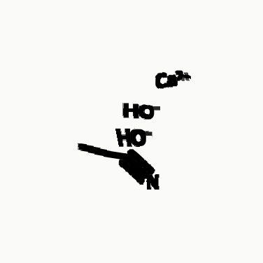 CC#N.[Ca+2].[OH-].[OH-]